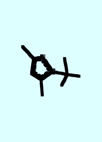 Cc1cc(C)n(C(C)(C)C)n1